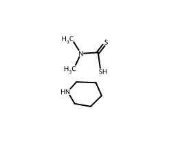 C1CCNCC1.CN(C)C(=S)S